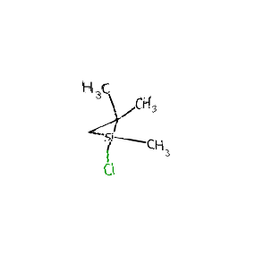 CC1(C)C[Si]1(C)Cl